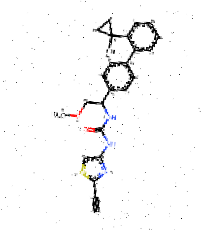 C#Cc1nc(NC(=O)NC(COC(=O)O)c2ccc(-c3ccccc3C3(C#N)CC3)cc2)cs1